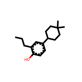 CCCc1cc(C2CCC(C)(C)CC2)ccc1O